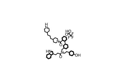 O=C(CCc1c[nH]c2ccccc12)N(CCc1ccc(O)cc1)Cc1cccc(-c2ccccc2C(=O)N2CCC(CCCC3CCNCC3)CC2)c1.O=C(O)C(F)(F)F